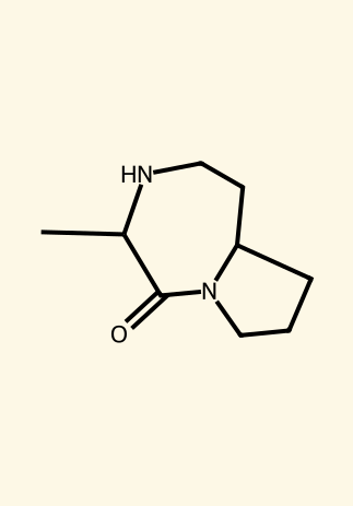 CC1NCCC2CCCN2C1=O